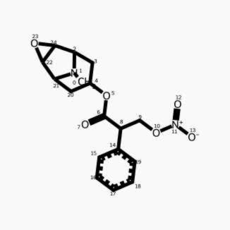 CN1C2CC(OC(=O)C(CO[N+](=O)[O-])c3ccccc3)CC1C1OC12